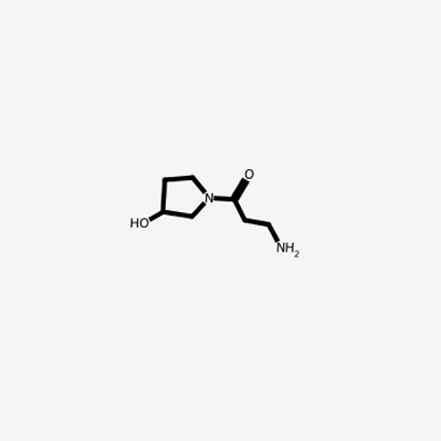 NCCC(=O)N1CCC(O)C1